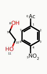 CC(=O)c1ccc([N+](=O)[O-])cc1.OCCO